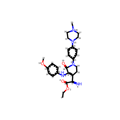 CCOC(=O)C(=N)C1=C(Nc2ccc(OC)cc2)C(=O)N(c2ccc(N3CCN(C)CC3)cc2)CC1